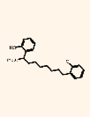 CCCCCCCC(CCCCCCCc1ccccc1O)c1ccccc1O